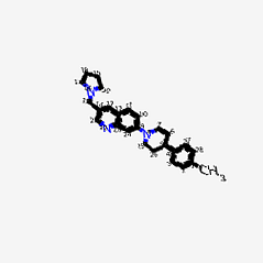 Cc1ccc(C2CCN(c3ccc4cc(CN5CCCC5)cnc4c3)CC2)cc1